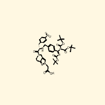 CC(C)(C)OC(=O)N=C(c1ccc(CN[C@@H](Cc2ccc([N+](=O)[O-])cc2)C(=O)N2CCc3nn(CC(=O)O)cc3C2)cc1)N(C(=O)OC(C)(C)C)C(=O)OC(C)(C)C